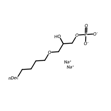 CCCCCCCCCCCCCCOCC(O)COP(=O)([O-])[O-].[Na+].[Na+]